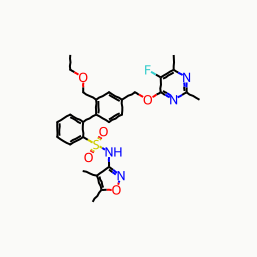 CCOCc1cc(COc2nc(C)nc(C)c2F)ccc1-c1ccccc1S(=O)(=O)Nc1noc(C)c1C